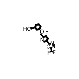 C#Cc1cccc(OCc2ncc(-c3nnc(C(F)F)o3)cc2F)c1